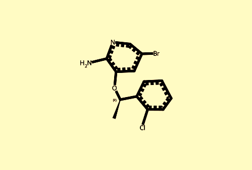 C[C@@H](Oc1cc(Br)cnc1N)c1ccccc1Cl